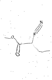 CC[C@@H]([N+]#N)C(=O)OC